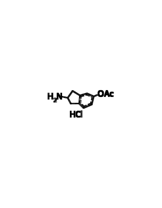 CC(=O)Oc1ccc2c(c1)CC(N)C2.Cl